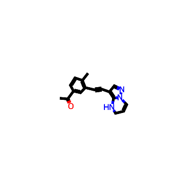 CC(=O)c1ccc(C)c(C#Cc2cnn3c2NCC=C3)c1